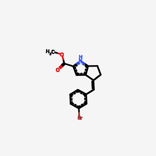 COC(=O)c1cc2c([nH]1)CC/C2=C/c1cccc(Br)c1